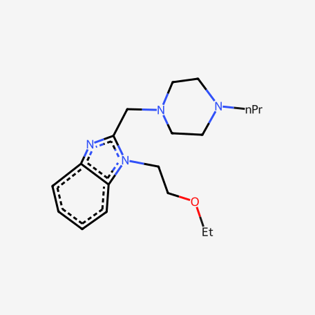 CCCN1CCN(Cc2nc3ccccc3n2CCOCC)CC1